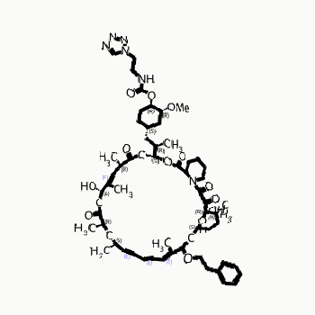 CO[C@@H]1C[C@H](C[C@@H](C)[C@@H]2CC(=O)[C@H](C)/C=C(\C)[C@@H](O)CC(=O)[C@H](C)C[C@H](C)/C=C/C=C/C=C(\C)C(OCCc3ccccc3)C[C@@H]3CC[C@@H](C)[C@@](O)(O3)C(=O)C(=O)N3CCCCC3C(=O)O2)CC[C@H]1OC(=O)NCCn1cnnn1